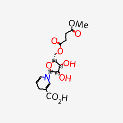 COC(=O)CCC(=O)OC[C@H]1O[C@@H](N2C=CCC(C(=O)O)=C2)[C@H](O)[C@@H]1O